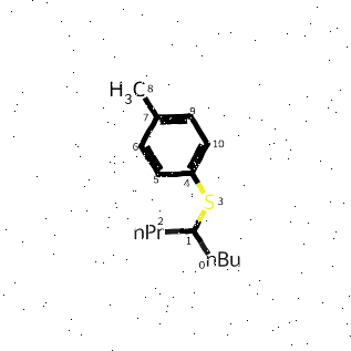 CCCCC(CCC)Sc1ccc(C)cc1